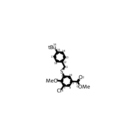 COC(=O)c1cc(Cl)c(OC)c(SCc2ccc(C(C)(C)C)cc2)c1